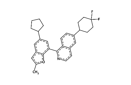 Cc1cc2cc(C3CCCC3)cc(-c3nccc4cc(C5CCC(F)(F)CC5)ccc34)c2o1